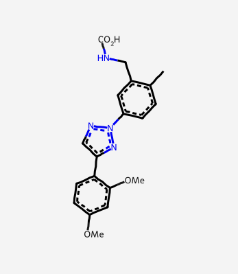 COc1ccc(-c2cnn(-c3ccc(C)c(CNC(=O)O)c3)n2)c(OC)c1